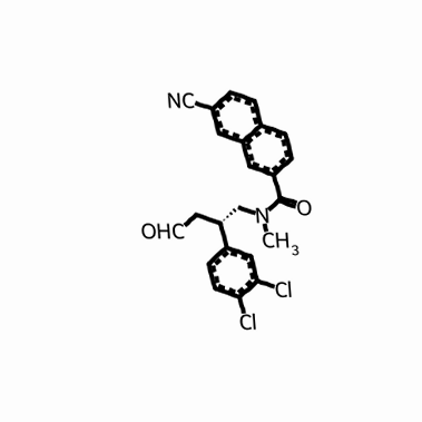 CN(C[C@@H](CC=O)c1ccc(Cl)c(Cl)c1)C(=O)c1ccc2ccc(C#N)cc2c1